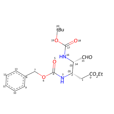 CCOC(=O)C[C@H](NC(=O)OCc1ccccc1)[C@@H](C=O)NC(=O)OC(C)(C)C